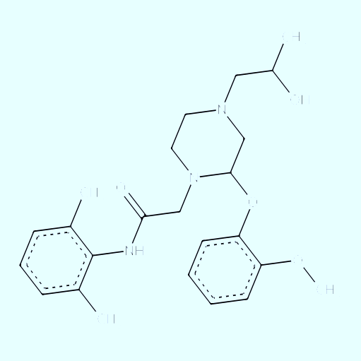 COc1ccccc1OC1CN(CC(C)O)CCN1CC(=O)Nc1c(C)cccc1C